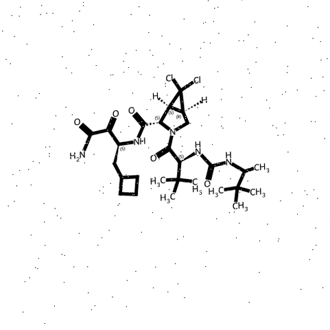 CC(NC(=O)N[C@H](C(=O)N1C[C@H]2[C@@H]([C@H]1C(=O)N[C@@H](CC1CCC1)C(=O)C(N)=O)C2(Cl)Cl)C(C)(C)C)C(C)(C)C